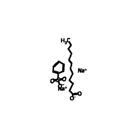 CCCCCCCCCCCC(=O)[O-].O=S(=O)([O-])c1ccccc1.[Na+].[Na+]